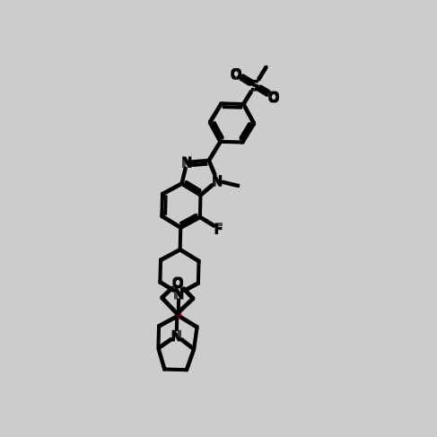 Cn1c(-c2ccc(S(C)(=O)=O)cc2)nc2ccc(C3CCN(C4CC5CCC(C4)N5C4COC4)CC3)c(F)c21